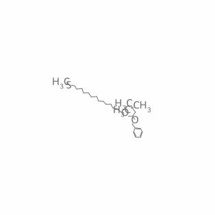 CSCCCCCCCCCCCCCCOCC(CC(C)(C)C)OCc1ccccc1